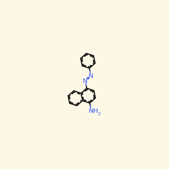 Nc1ccc(N=Nc2ccccc2)c2ccccc12